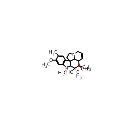 CC[C@]12C=CCN3CCC4(c5cc(C)c(OC)cc5N(C)C4[C@](C)(O)[C@@H]1O)C32